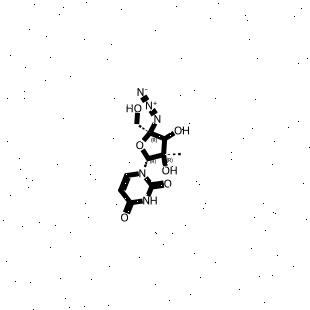 C[C@@]1(O)C(O)[C@](CO)(N=[N+]=[N-])O[C@H]1n1ccc(=O)[nH]c1=O